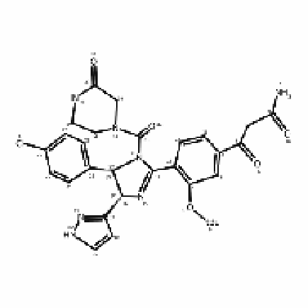 CC(C)(C)Oc1cc(C(=O)CC(N)=O)ccc1C1=N[C@@H](c2cc[nH]n2)[C@@H](c2ccc(Cl)cc2)N1C(=O)N1CCNC(=O)C1